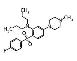 CCCN(CCC)c1cc(N2CCN(C)CC2)ccc1S(=O)(=O)c1ccc(F)cc1